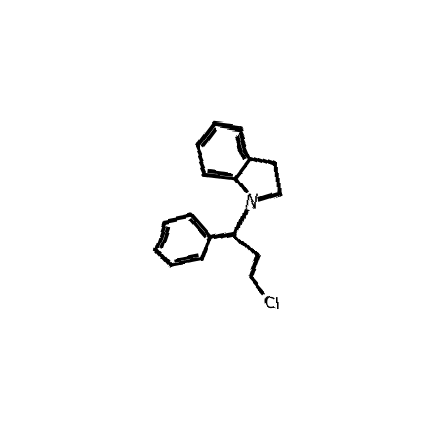 ClCCC(c1ccccc1)N1CCc2ccccc21